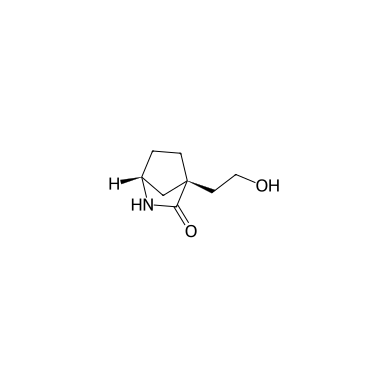 O=C1N[C@@H]2CC[C@@]1(CCO)C2